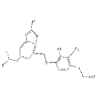 CCc1cc2cc(OC(F)F)cc(COc3ccc(CCC(=O)O)c(C)c3C)c2o1